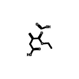 C=C(CC(=O)O)C(=O)OCC.O=CO